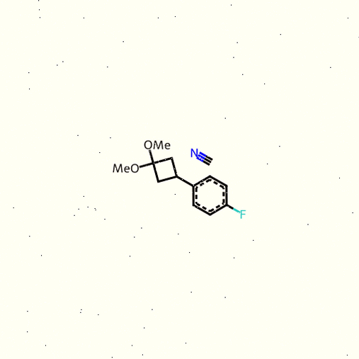 C#N.COC1(OC)CC(c2ccc(F)cc2)C1